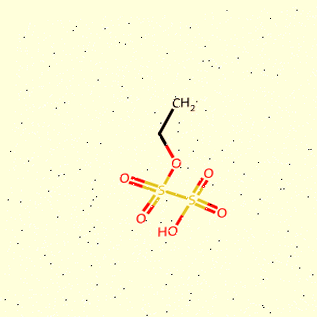 [CH2]COS(=O)(=O)S(=O)(=O)O